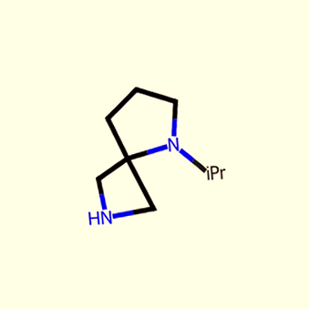 CC(C)N1CCCC12CNC2